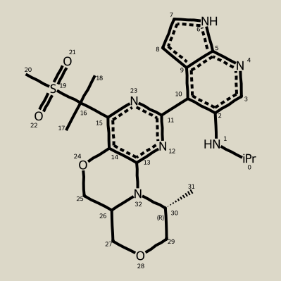 CC(C)Nc1cnc2[nH]ccc2c1-c1nc2c(c(C(C)(C)S(C)(=O)=O)n1)OCC1COC[C@@H](C)N21